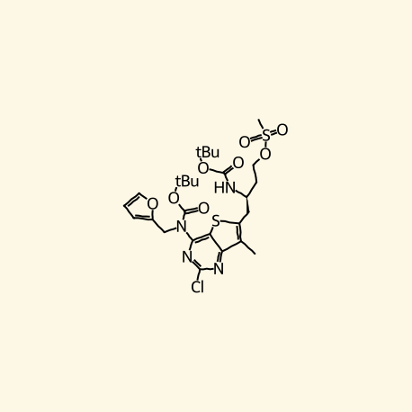 Cc1c(C[C@H](CCOS(C)(=O)=O)NC(=O)OC(C)(C)C)sc2c(N(Cc3ccco3)C(=O)OC(C)(C)C)nc(Cl)nc12